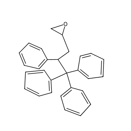 c1ccc(C(CC2CO2)C(c2ccccc2)(c2ccccc2)c2ccccc2)cc1